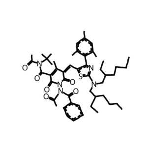 CCCCC(CC)CN(CC(CC)CCCC)c1nc(-c2c(C)cc(C)cc2C)c(/C=C2\C(=O)N(N(C(C)=O)C(=O)c3ccccc3)C(=O)C(C(=O)N(C(C)=O)C(C)(C)C)=C2C)s1